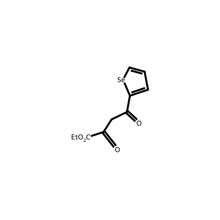 CCOC(=O)C(=O)CC(=O)c1ccc[se]1